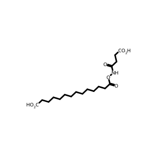 O=C(O)CCCCCCCCCCCCC(=O)ONC(=O)CCC(=O)O